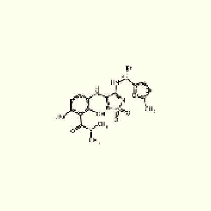 CC[C@@H](NC1=NS(=O)(=O)N=C1Nc1ccc(C(C)(C)C)c(C(=O)N(C)C)c1O)c1ccc(C)o1